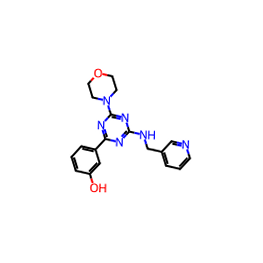 Oc1cccc(-c2nc(NCc3cccnc3)nc(N3CCOCC3)n2)c1